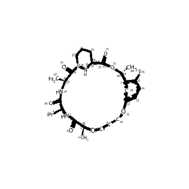 CC(C)C1NC(=O)[C@H](C)CCCCOc2ccc(F)c(c2)[C@@H](C)OC(=O)[C@@H]2CCCN(N2)C(=O)[C@H](C)NC1=O